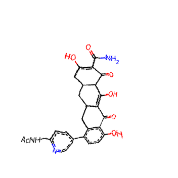 CC(=O)Nc1ccc(-c2ccc(O)c3c2CC2CC4CC(O)=C(C(N)=O)C(=O)C4C(O)=C2C3=O)cn1